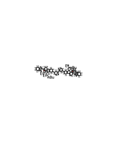 CCCCC(CC)CC1(CC(CC)CCCC)c2cc(-c3ccnc(-c4cc(-c5ccc6c(c5)C(CC(CC)CCCC)(CC(CC)CCCC)c5cc(-c7nc8ccccc8s7)ccc5-6)ccn4)c3)ccc2-c2ccc(-c3nc4ccccc4s3)cc21